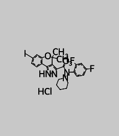 CC1(C)Oc2cc(I)ccc2-c2[nH]nc(C(=O)N(c3ccc(F)cc3F)N3CCCCC3)c21.Cl